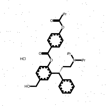 CC(C)C(=O)Oc1ccc(C(=O)Oc2ccc(CO)cc2[C@H](CCN(C(C)C)C(C)C)c2ccccc2)cc1.Cl